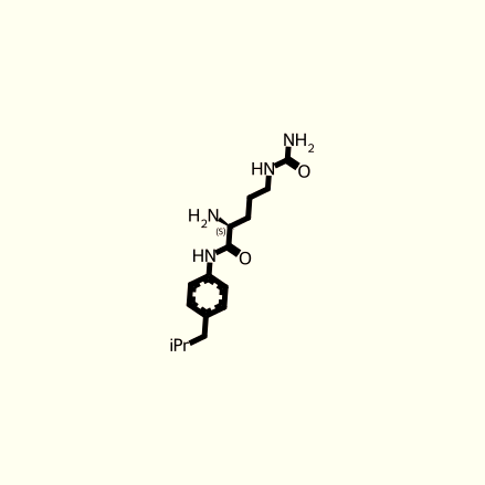 CC(C)Cc1ccc(NC(=O)[C@@H](N)CCCNC(N)=O)cc1